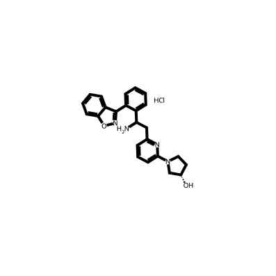 Cl.NC(Cc1cccc(N2CC[C@H](O)C2)n1)c1ccccc1-c1noc2ccccc12